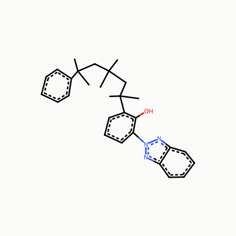 CC(C)(CC(C)(C)c1ccccc1)CC(C)(C)c1cccc(-n2nc3ccccc3n2)c1O